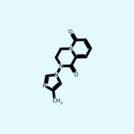 Cc1cn(N2CCn3c(cccc3=O)C2=O)cn1